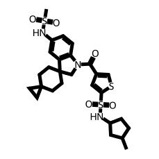 CC1CCC(NS(=O)(=O)c2cc(C(=O)N3CC4(CCC5(CC5)CC4)c4cc(NS(C)(=O)=O)ccc43)cs2)C1